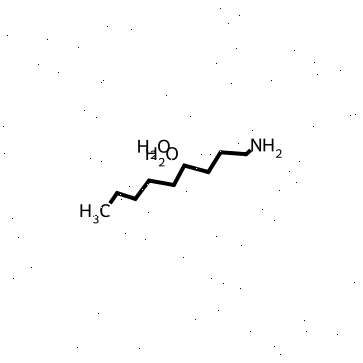 CCCCCCCCCN.O.O